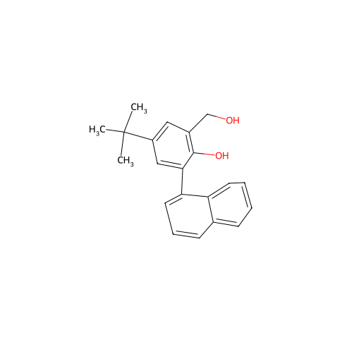 CC(C)(C)c1cc(CO)c(O)c(-c2cccc3ccccc23)c1